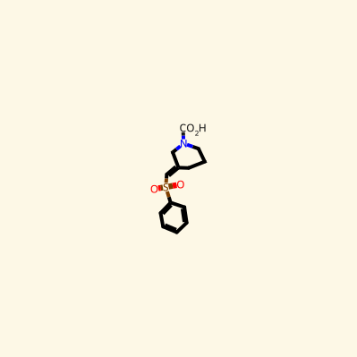 O=C(O)N1CCC/C(=C\S(=O)(=O)c2ccccc2)C1